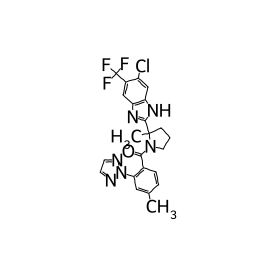 Cc1ccc(C(=O)N2CCCC2(C)c2nc3cc(C(F)(F)F)c(Cl)cc3[nH]2)c(-n2nccn2)c1